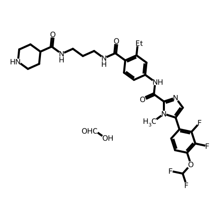 CCc1cc(NC(=O)c2ncc(-c3ccc(OC(F)F)c(F)c3F)n2C)ccc1C(=O)NCCCNC(=O)C1CCNCC1.O=CO